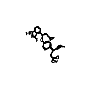 CC#CC(CC(=O)O)c1ccc(OC(CC2CC2)c2cccc3[nH]nc(F)c23)cc1